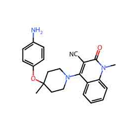 Cn1c(=O)c(C#N)c(N2CCC(C)(Oc3ccc(N)cc3)CC2)c2ccccc21